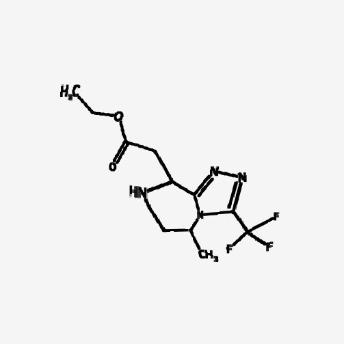 CCOC(=O)CC1NCC(C)n2c1nnc2C(F)(F)F